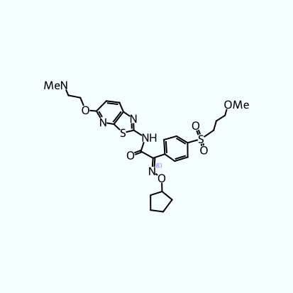 CNCCOc1ccc2nc(NC(=O)/C(=N/OC3CCCC3)c3ccc(S(=O)(=O)CCCOC)cc3)sc2n1